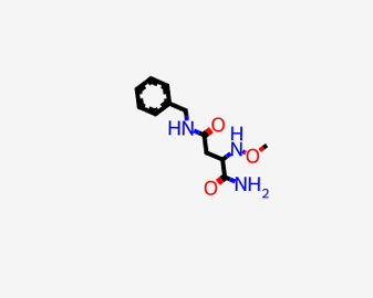 CONC(CC(=O)NCc1ccccc1)C(N)=O